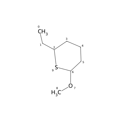 CCC1CCCC(OC)S1